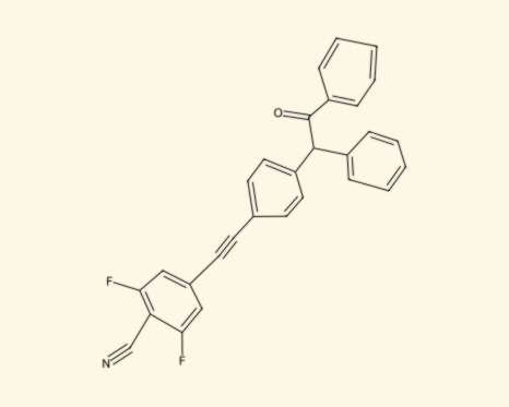 N#Cc1c(F)cc(C#Cc2ccc(C(C(=O)c3ccccc3)c3ccccc3)cc2)cc1F